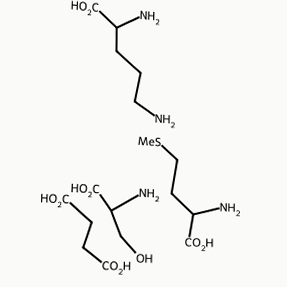 CSCCC(N)C(=O)O.NC(CO)C(=O)O.NCCCC(N)C(=O)O.O=C(O)CCC(=O)O